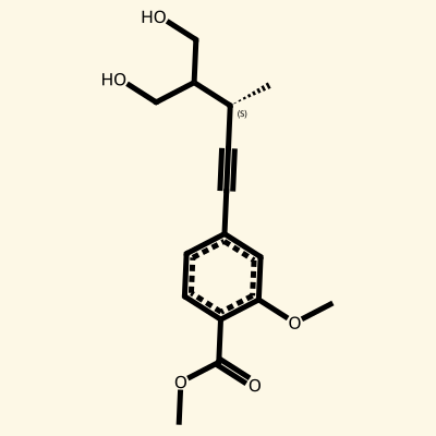 COC(=O)c1ccc(C#C[C@@H](C)C(CO)CO)cc1OC